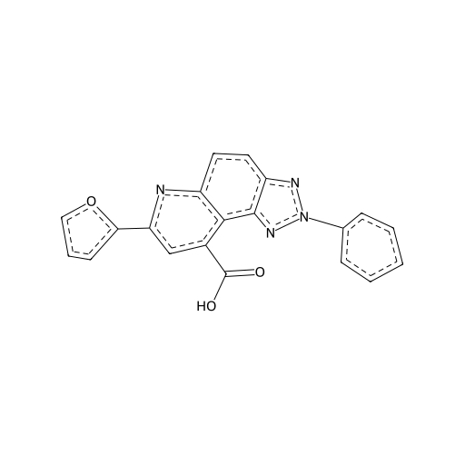 O=C(O)c1cc(-c2ccco2)nc2ccc3nn(-c4ccccc4)nc3c12